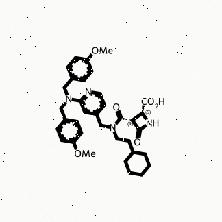 COc1ccc(CN(Cc2ccc(OC)cc2)c2cc(CN(CCC3CCCCC3)C(=O)[C@H]3C(=O)N[C@@H]3C(=O)O)ccn2)cc1